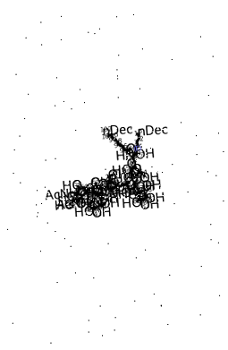 CCCCCCCCCCCCC/C=C/[C@@H](O)[C@H](CO[C@@H]1OC(CO)[C@@H](O[C@@H]2OC(CO[C@@H]3OC(CO)[C@@H](O[C@@H]4OC(CO)[C@H](O[C@@H]5OC(CO)[C@H](O)[C@H](O)C5NC(C)=O)[C@H](O[C@]5(C(=O)O)CC(O)[C@@H](NC(C)=O)C([C@H](O)[C@H](O)CO)O5)C4O)[C@H](O)C3NC(C)=O)[C@H](O)[C@H](O[C@H]3OC(CO)[C@H](O)[C@H](O)C3O)C2O)[C@H](O)C1O)NC(=O)CCCCCCCCCCCCCCCCC